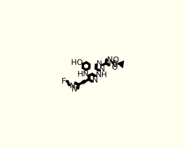 O=S(=O)(C1CC1)n1cc(-c2nccc(Nc3cc(N[C@H]4CCC[C@H](O)C4)c(C#Cc4cnn(CCF)c4)cn3)n2)cn1